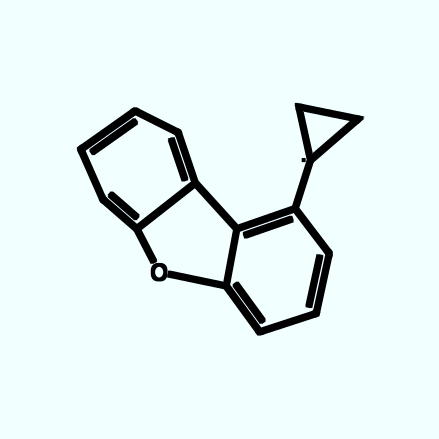 c1ccc2c(c1)oc1cccc([C]3CC3)c12